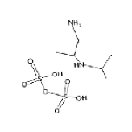 CC(C)NC(C)CN.O=S(=O)(O)OS(=O)(=O)O